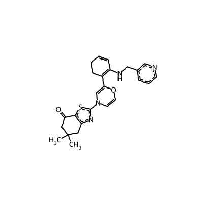 CC1(C)CC(=O)c2sc(N3C=COC(C4=C(NCc5cccnc5)C=CCC4)=C3)nc2C1